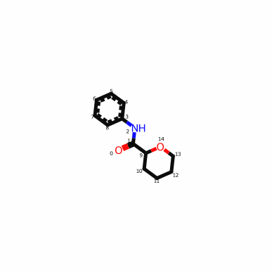 O=C(Nc1ccccc1)C1CCCCO1